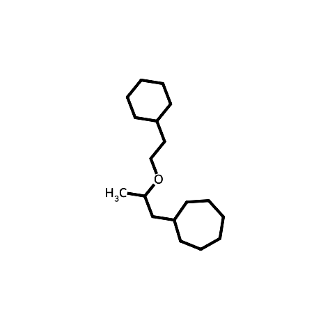 CC(CC1CCCCCC1)OCCC1CCCCC1